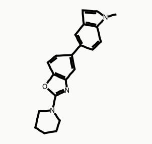 Cn1ccc2cc(-c3ccc4oc(N5CCCCC5)nc4c3)ccc21